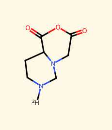 [2H]N1CCC2C(=O)OC(=O)CN2C1